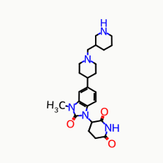 Cn1c(=O)n(C2CCC(=O)NC2=O)c2ccc(C3CCN(CC4CCCNC4)CC3)cc21